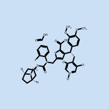 COc1ccc([C@H](Cc2c(Cl)c[n+]([O-])cc2Cl)c2cc(CN(C(=O)OC3C[C@H]4CC[C@@H](C3)N4C)c3ccccc3F)sc2C(=O)O)cc1OC.O=CO